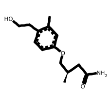 Cc1cc(OC[C@H](C)CC(N)=O)ccc1[CH]CO